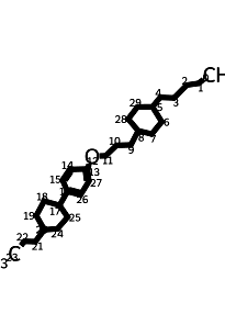 CCCCCC1CCC(CCCOc2ccc(C3CCC(CCC)CC3)cc2)CC1